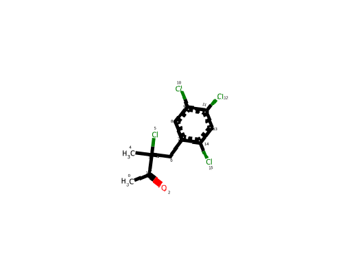 CC(=O)C(C)(Cl)Cc1cc(Cl)c(Cl)cc1Cl